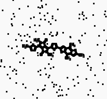 Cc1ccc(C2=C3C(=O)N(C)C(c4ccc(-c5cc6c(C)c7sc(C)cc7c(C)c6s5)s4)=C3C(=O)N2C)s1